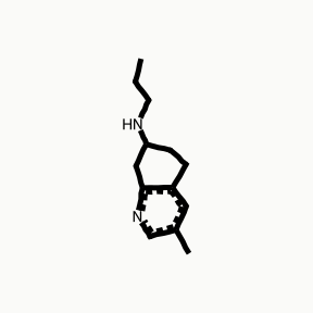 CCCNC1CCc2cc(C)cnc2C1